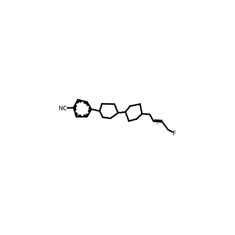 N#Cc1ccc(C2CCC(C3CCC(C/C=C/CF)CC3)CC2)cc1